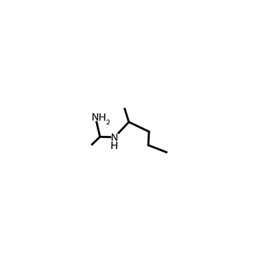 CCCC(C)NC(C)N